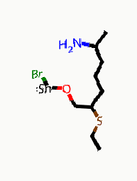 CCSC(CCCC(C)N)C[O][Sn][Br]